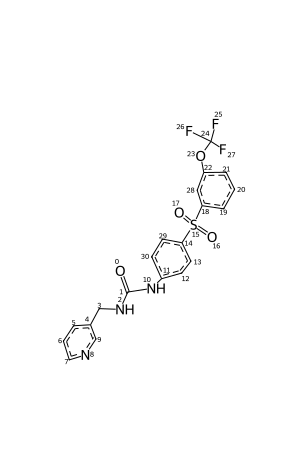 O=C(NCc1cccnc1)Nc1ccc(S(=O)(=O)c2cccc(OC(F)(F)F)c2)cc1